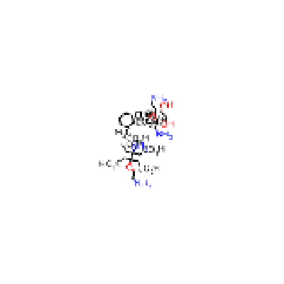 C1CCCCC1.CC(=O)O.CC(=O)O.CC(=O)O.CC(=O)O.NCCOC(CC(=O)O)(CC(=O)O)C(N)(CC(=O)O)CC(=O)O.NCCOCCN.OCCO